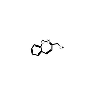 [O]CC1=NOc2ccccc2C=C1